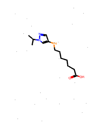 CC(C)n1cc(PCCCCCCC(=O)O)cn1